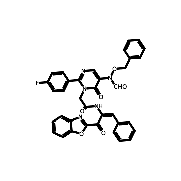 O=CN(OCc1ccccc1)c1cnc(-c2ccc(F)cc2)n(CC(=O)NC(=Cc2ccccc2)C(=O)c2nc3ccccc3o2)c1=O